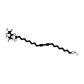 CCCCCCCCCC#CC#CCCCCCCCCC(=O)OC(C(F)(F)F)C(F)(F)F